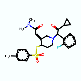 Cc1ccc(S(=O)(=O)SC2CCN(C(C(=O)C3CC3)c3ccccc3F)C/C2=C\C(=O)N(C)C)cc1